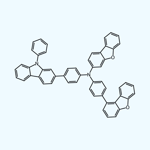 c1ccc(-n2c3ccccc3c3ccc(-c4ccc(N(c5ccc(-c6cccc7oc8ccccc8c67)cc5)c5ccc6c(c5)oc5ccccc56)cc4)cc32)cc1